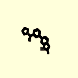 CC1Cc2ccc(-c3cccc(C(=O)N4CCCC4)c3)cc2N1